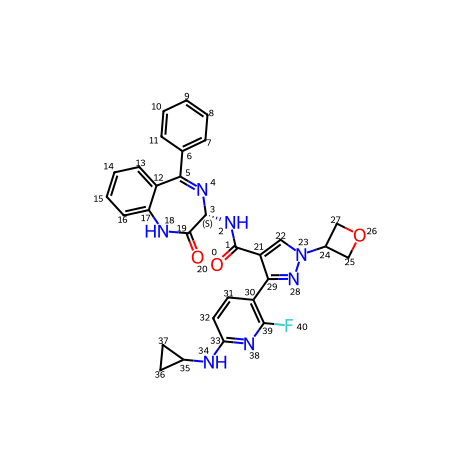 O=C(N[C@H]1N=C(c2ccccc2)c2ccccc2NC1=O)c1cn(C2COC2)nc1-c1ccc(NC2CC2)nc1F